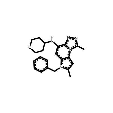 Cc1cc2c(cc(NC3CCOCC3)c3nnc(C)n32)n1Cc1ccccc1